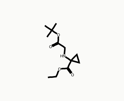 CCOC(=O)C1(NCC(=O)OC(C)(C)C)CC1